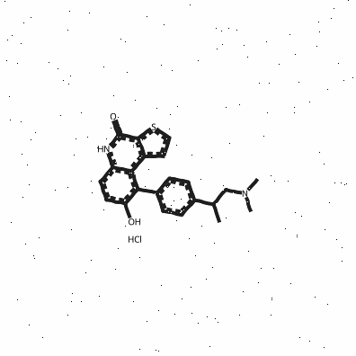 CC(CN(C)C)c1ccc(-c2c(O)ccc3[nH]c(=O)c4sccc4c23)cc1.Cl